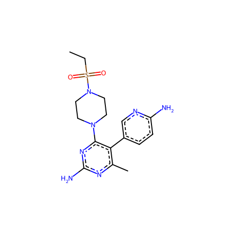 CCS(=O)(=O)N1CCN(c2nc(N)nc(C)c2-c2ccc(N)nc2)CC1